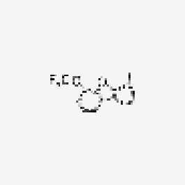 Cc1cccc2c1oc1c(OC(F)(F)F)cccc12